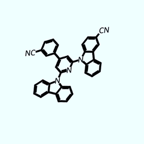 N#Cc1cccc(-c2cc(-n3c4ccccc4c4ccccc43)nc(-n3c4ccccc4c4cc(C#N)ccc43)c2)c1